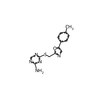 Cc1ccc(-c2cnc(CSc3ncnc(N)n3)o2)cc1